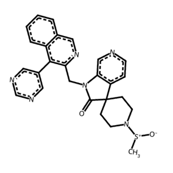 C[S+]([O-])N1CCC2(CC1)C(=O)N(Cc1ncc3ccccc3c1-c1cncnc1)c1cnccc12